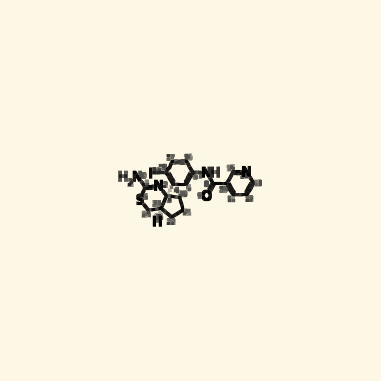 NC1=N[C@@]2(c3cc(NC(=O)c4cccnc4)ccc3F)CCC[C@H]2CS1